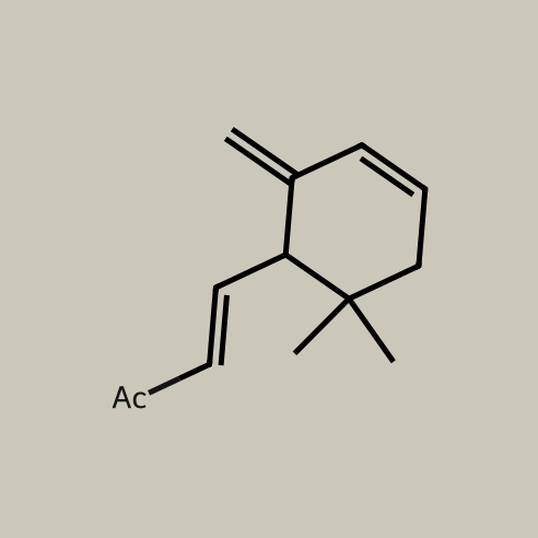 C=C1C=CCC(C)(C)C1C=CC(C)=O